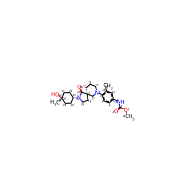 COC(=O)Nc1ccc(N2CCC[C@@]3(CCN([C@H]4CC[C@@](C)(O)CC4)C3=O)C2)c(C)c1